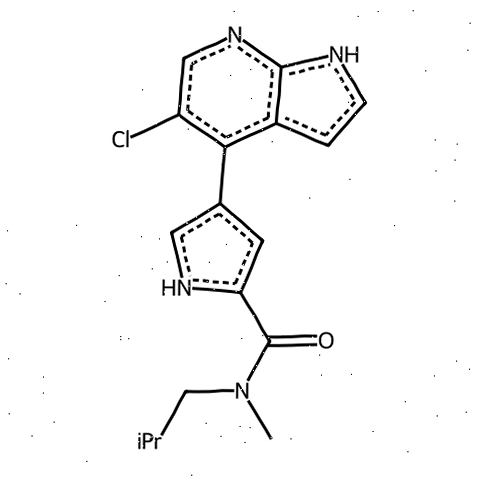 CC(C)CN(C)C(=O)c1cc(-c2c(Cl)cnc3[nH]ccc23)c[nH]1